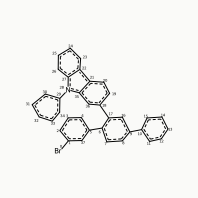 Brc1cccc(-c2ccc(-c3ccccc3)cc2-c2ccc3c4ccccc4n(-c4ccccc4)c3c2)c1